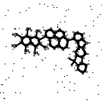 Bc1c(B)c(B)c2c(B)c(-c3ccc4ccc5c(-c6cccc7oc8cc9c(cc8c67)C(C)(C)c6ccccc6-9)ccc6ccc3c4c65)c(B)c(B)c2c1B